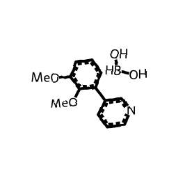 COc1cccc(-c2cccnc2)c1OC.OBO